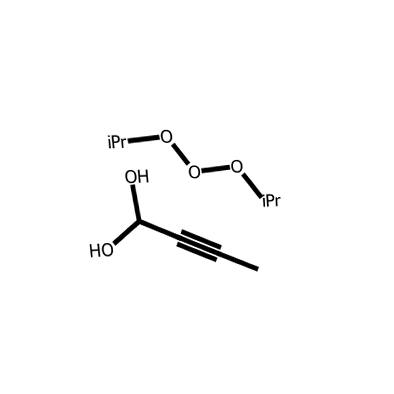 CC#CC(O)O.CC(C)OOOC(C)C